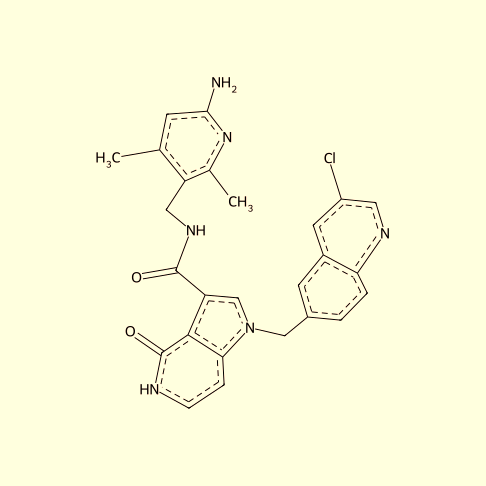 Cc1cc(N)nc(C)c1CNC(=O)c1cn(Cc2ccc3ncc(Cl)cc3c2)c2cc[nH]c(=O)c12